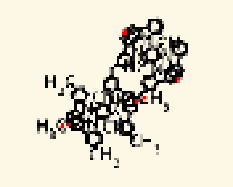 Cc1ccc2c(c1)c1cc(C)ccc1n2-c1c(C#N)c(-n2c3ccc(C)cc3c3cc(C)ccc32)c(-n2c3ccc(C)cc3c3cc(Cc4ccc5c(c4)c4ccccc4n5-c4c(C#N)c(-n5c6ccccc6c6ccccc65)c(-n5c6ccccc6c6ccccc65)c(C#N)c4-n4c5ccccc5c5ccccc54)ccc32)c(C#N)c1-n1c2ccc(C)cc2c2cc(C)ccc21